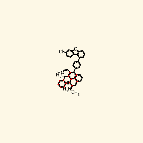 C=C(/C(=C\C=C/O)C(NCN)c1ccccc1)c1ccccc1CC(/C=C\c1cc(-c2ccc(-c3cccc4oc5cc(Cl)ccc5c34)cc2)ccc1Cc1ccccc1)=C/C